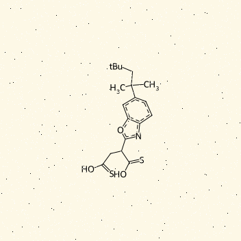 CC(C)(C)CC(C)(C)c1ccc2nc(C(CC(O)=S)C(O)=S)oc2c1